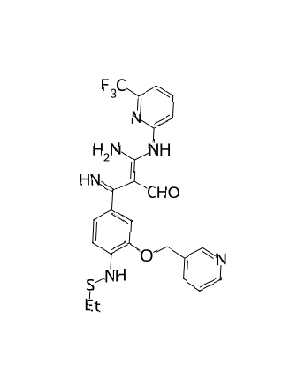 CCSNc1ccc(C(=N)/C(C=O)=C(\N)Nc2cccc(C(F)(F)F)n2)cc1OCc1cccnc1